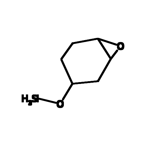 [SiH3]OC1CCC2OC2C1